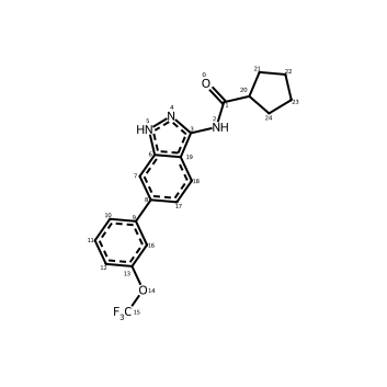 O=C(Nc1n[nH]c2cc(-c3cccc(OC(F)(F)F)c3)ccc12)C1CCCC1